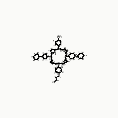 CCCCc1ccc(-c2c3nc(c(-c4ccc(-c5ccccc5)cc4)c4ccc([nH]4)c(-c4ccc(CCCI)cc4)c4nc(c(-c5ccc(-c6ccccc6)cc5)c5ccc2[nH]5)C=C4)C=C3)cc1